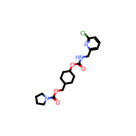 O=C(NCc1cccc(Cl)n1)OC1CCC(COC(=O)N2CCCC2)CC1